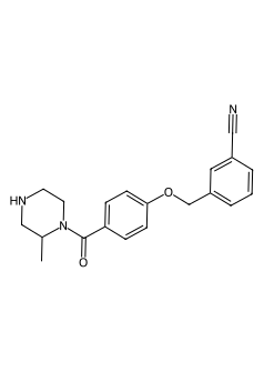 CC1CNCCN1C(=O)c1ccc(OCc2cccc(C#N)c2)cc1